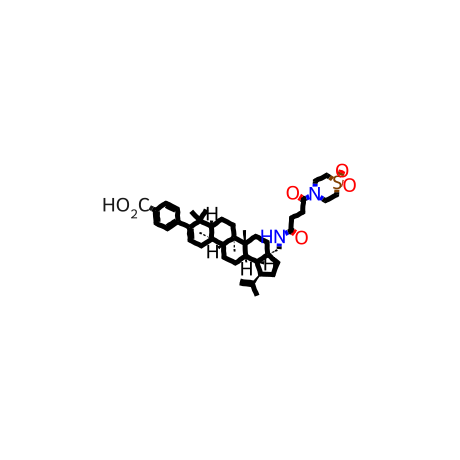 C=C(C)[C@@H]1CC[C@]2(CNC(=O)CCC(=O)N3CCS(=O)(=O)CC3)CC[C@]3(C)[C@H](CC[C@@H]4[C@@]5(C)CC=C(c6ccc(C(=O)O)cc6)C(C)(C)[C@@H]5CC[C@]43C)[C@@H]12